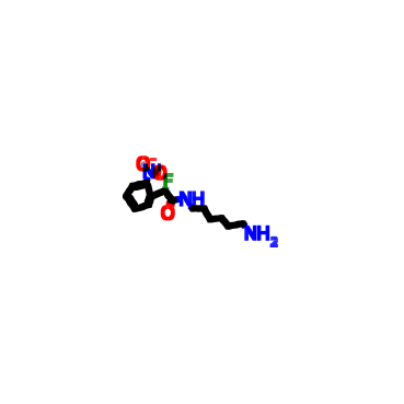 NCCCCCCNC(=O)C(F)c1ccccc1[N+](=O)[O-]